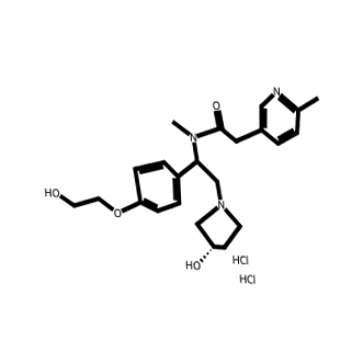 Cc1ccc(CC(=O)N(C)C(CN2CC[C@H](O)C2)c2ccc(OCCO)cc2)cn1.Cl.Cl